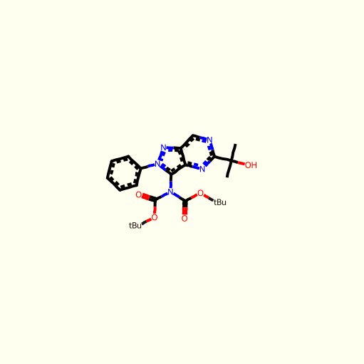 CC(C)(C)OC(=O)N(C(=O)OC(C)(C)C)c1c2nc(C(C)(C)O)ncc2nn1-c1ccccc1